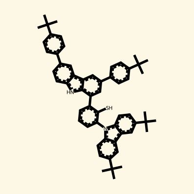 CC(C)(C)c1ccc(-c2ccc3[nH]c4c(-c5cccc(-n6c7ccc(C(C)(C)C)cc7c7cc(C(C)(C)C)ccc76)c5S)cc(-c5ccc(C(C)(C)C)cc5)cc4c3c2)cc1